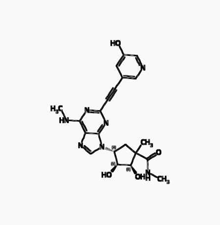 CNC(=O)C1(C)C[C@@H](n2cnc3c(NC)nc(C#Cc4cncc(O)c4)nc32)[C@H](O)[C@@H]1O